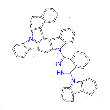 N=C(c1ccccc1C(=N)n1c2ccccc2c2c3c4c5ccccc5ccc4n4c5ccccc5c(cc21)c34)n1c2ccccc2c2ccccc21